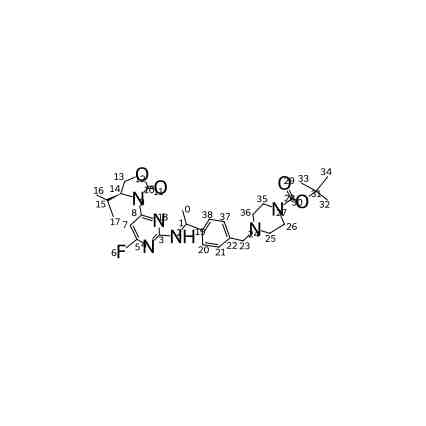 CC(Nc1nc(F)cc(N2C(=O)OC[C@@H]2C(C)C)n1)c1ccc(CN2CCN(C(=O)OC(C)(C)C)CC2)cc1